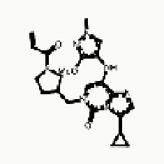 C=CC(=O)N1CCC(Cn2cc(Nc3cn(C)nc3OC)c3ncc(C4CC4)n3c2=O)C1